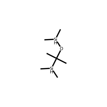 C[SiH](C)OC(C)(C)[SiH](C)C